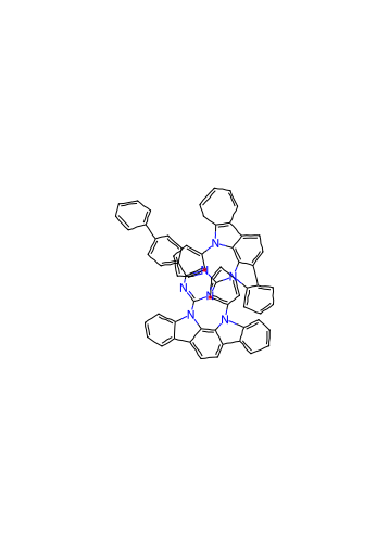 C1=CCc2c(c3ccc4c5ccccc5n(-c5nc(-c6ccc(-c7ccccc7)cc6)nc(-n6c7ccccc7c7ccc8c9ccccc9n(-c9ccccc9)c8c76)n5)c4c3n2-c2ccccc2)C=C1